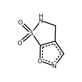 O=S1(=O)NCc2cnoc21